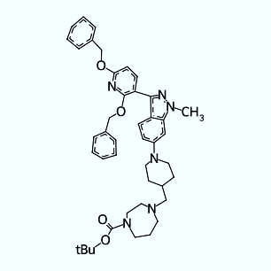 Cn1nc(-c2ccc(OCc3ccccc3)nc2OCc2ccccc2)c2ccc(N3CCC(CN4CCCN(C(=O)OC(C)(C)C)CC4)CC3)cc21